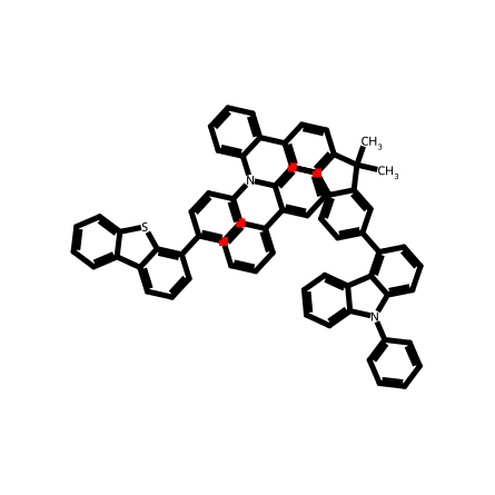 CC1(C)c2ccc(-c3ccccc3N(c3ccc(-c4cccc5c4sc4ccccc45)cc3)c3ccccc3-c3ccccc3)cc2-c2ccc(-c3cccc4c3c3ccccc3n4-c3ccccc3)cc21